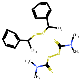 CC(SSC(C)c1ccccc1)c1ccccc1.CN(C)C(=S)SSC(=S)N(C)C